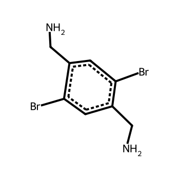 NCc1cc(Br)c(CN)cc1Br